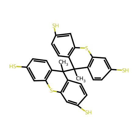 CC1(C2(C)c3ccc(S)cc3Sc3cc(S)ccc32)c2ccc(S)cc2Sc2cc(S)ccc21